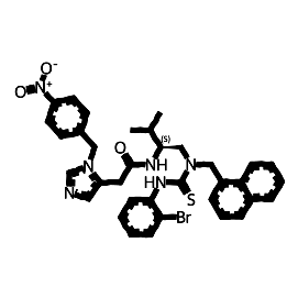 CC(C)[C@@H](CN(Cc1cccc2ccccc12)C(=S)Nc1ccccc1Br)NC(=O)Cc1cncn1Cc1ccc([N+](=O)[O-])cc1